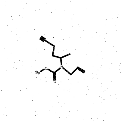 C#CCCC(C)N(CC=C)C(=O)OC(C)(C)C